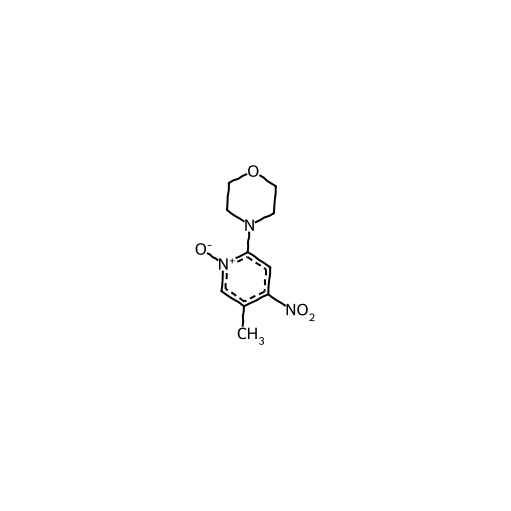 Cc1c[n+]([O-])c(N2CCOCC2)cc1[N+](=O)[O-]